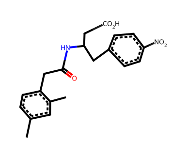 Cc1ccc(CC(=O)NC(CC(=O)O)Cc2ccc([N+](=O)[O-])cc2)c(C)c1